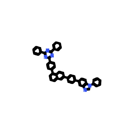 C1=CC(c2nc(-c3ccccc3)nc(-c3ccc(-c4cccc5cc(-c6ccc(-c7ccc8c(c7)ncn8-c7ccccc7)cc6)ccc45)cc3)n2)=CCC1